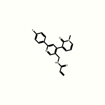 C=CC(=O)NCc1cnc(-c2ccc(F)cc2)cc1-c1cccn(C)c1=O